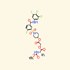 CC(C)[C@H](NC(=O)OC(C)(C)C)C(=O)OCC(=O)OC1CCN(S(=O)(=O)c2cc(C(=O)Nc3cc(F)c(F)c(F)c3)ccc2F)CC1